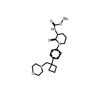 CC(C)(C)OC(=O)NC1CCCN(c2ccc(C3(CN4CCOCC4)CCC3)cc2)C1=O